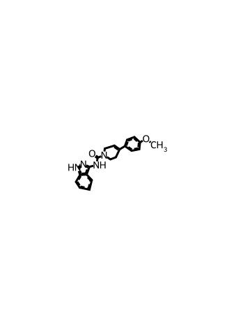 COc1ccc(C2=CCN(C(=O)Nc3n[nH]c4ccccc34)CC2)cc1